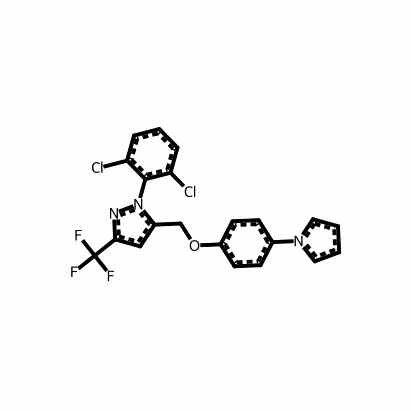 FC(F)(F)c1cc(COc2ccc(-n3cccc3)cc2)n(-c2c(Cl)cccc2Cl)n1